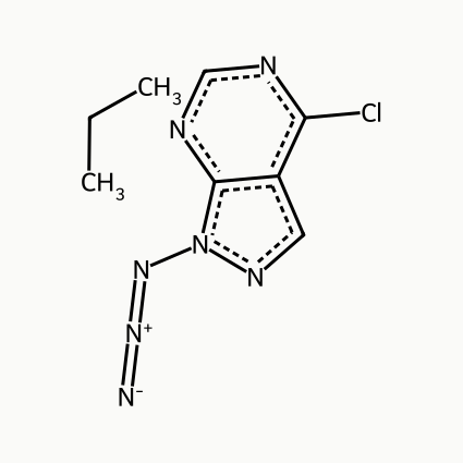 CCC.[N-]=[N+]=Nn1ncc2c(Cl)ncnc21